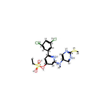 CCS(=O)(=O)Oc1cc(-c2cc(Cl)cc(Cl)c2)nc(N(C)c2cnc(SC)nc2)c1